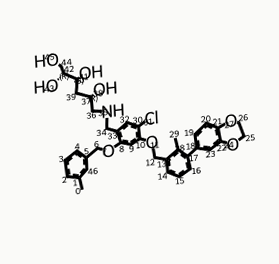 Cc1cccc(COc2cc(OCc3cccc(-c4ccc5c(c4)OCCO5)c3C)c(Cl)cc2CNC[C@H](O)C[C@H](O)[C@H](O)CO)c1